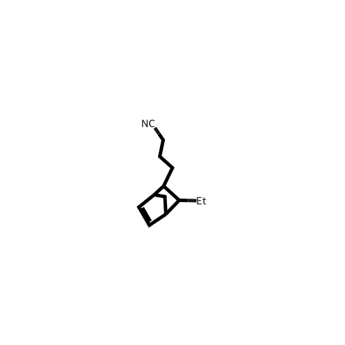 CCC1C2C=CC(C2)C1CCCC#N